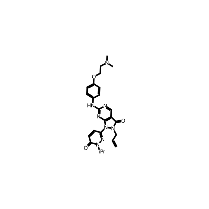 C=CCn1c(=O)c2cnc(Nc3ccc(OCCN(C)C)cc3)nc2n1-c1ccc(=O)n(C(C)C)n1